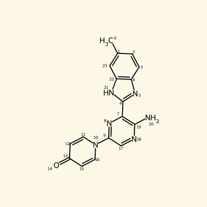 Cc1ccc2nc(-c3nc(-n4ccc(=O)cc4)cnc3N)[nH]c2c1